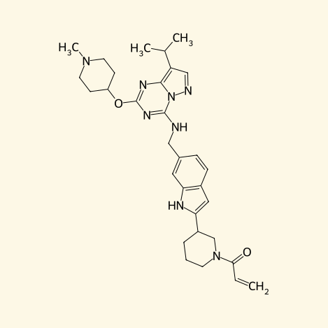 C=CC(=O)N1CCCC(c2cc3ccc(CNc4nc(OC5CCN(C)CC5)nc5c(C(C)C)cnn45)cc3[nH]2)C1